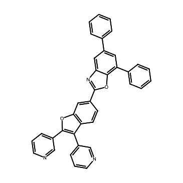 c1ccc(-c2cc(-c3ccccc3)c3oc(-c4ccc5c(-c6cccnc6)c(-c6cccnc6)oc5c4)nc3c2)cc1